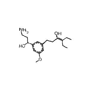 CCC(CC)=C(O)CCc1cc(OC)cc(C(O)CCN)c1